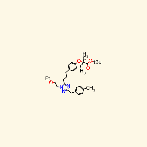 CCOCCn1nc(Cc2ccc(C)cc2)nc1CCCc1ccc(OC(C)(C)C(=O)OC(C)(C)C)cc1